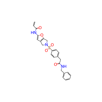 C=CC(=O)Nc1cc2c(o1)CN(S(=O)(=O)c1ccc(CC(=O)NCc3ccccc3)cc1)C2